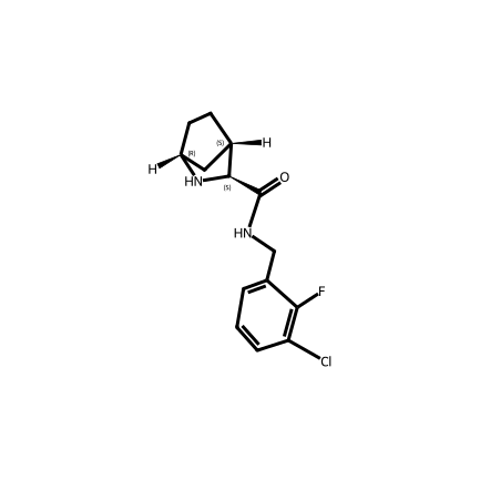 O=C(NCc1cccc(Cl)c1F)[C@H]1N[C@@H]2CC[C@H]1C2